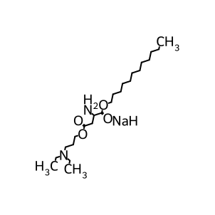 CCCCCCCCCCCCOC(=O)C(N)CC(=O)OCCCN(CC)CC.[NaH]